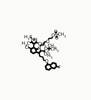 Cc1nn(C)c(C)c1-c1c(Cl)ccc2c(CCCOc3cccc4cc(F)ccc34)c(C(=O)OC(C)(C)C)n(CCCOCCOS(C)(=O)=O)c12